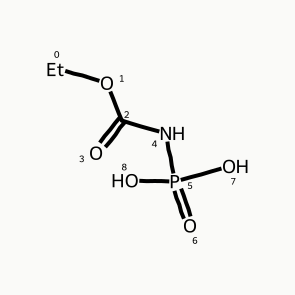 CCOC(=O)NP(=O)(O)O